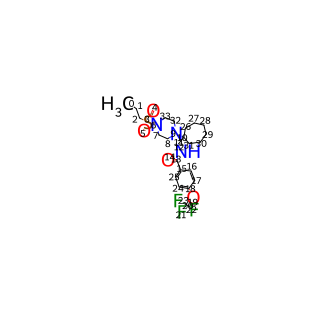 CCCS(=O)(=O)N1CCN(C2(CNC(=O)c3ccc(OC(F)(F)F)cc3)CCCCCC2)CC1